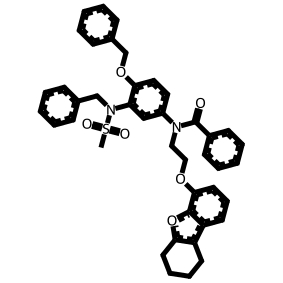 CS(=O)(=O)N(Cc1ccccc1)c1cc(N(CCOc2cccc3c4c(oc23)CCCC4)C(=O)c2ccccc2)ccc1OCc1ccccc1